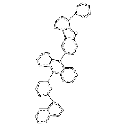 c1ccc(-c2cccc3c2oc2ccc(-c4c5ccccc5c(-c5cccc(-c6cccc7ccccc67)c5)c5ccccc45)cc23)cc1